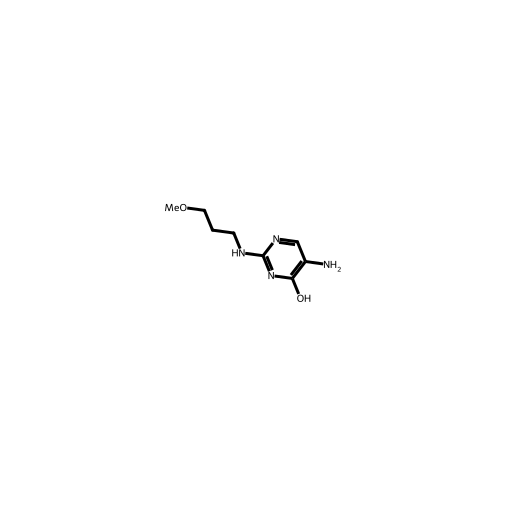 COCCCNc1ncc(N)c(O)n1